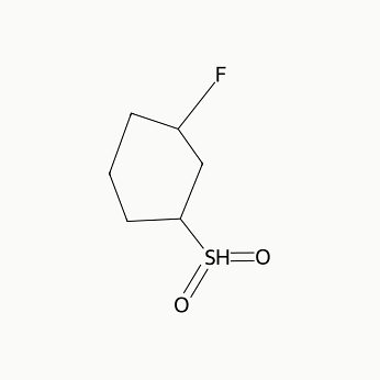 O=[SH](=O)C1CCCC(F)C1